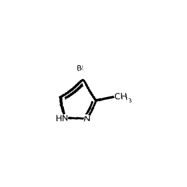 Cc1cc[nH]n1.[B]